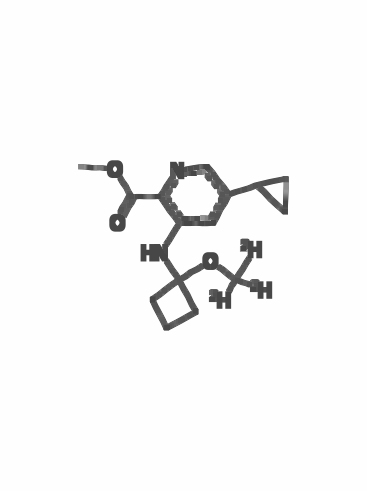 [2H]C([2H])([2H])OC1(Nc2cc(C3CC3)cnc2C(=O)OC)CCC1